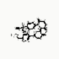 CCc1ccc(-c2ccc3ncc4ccc(=O)n(-c5ccc(C(C)(C)C#N)cc5)c4c3n2)cn1